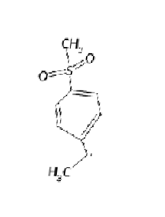 C[CH]c1ccc(S(C)(=O)=O)cc1